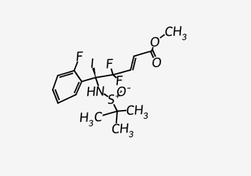 COC(=O)/C=C/C(F)(F)[C@](I)(N[S@+]([O-])C(C)(C)C)c1ccccc1F